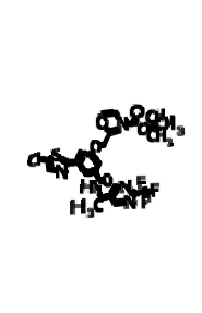 C[C@@H](NC(=O)c1cc(OC[C@@H]2CN(C(=O)OC(C)(C)C)CCO2)cc(-c2ncc(Cl)s2)c1)c1cnc(C(F)(F)F)nc1